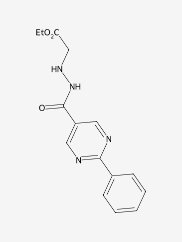 CCOC(=O)CNNC(=O)c1cnc(-c2ccccc2)nc1